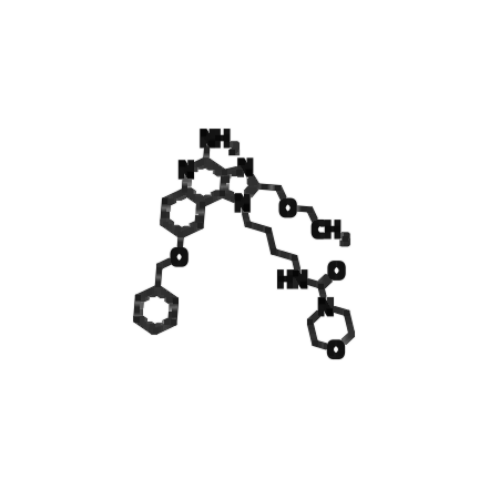 CCOCc1nc2c(N)nc3ccc(OCc4ccccc4)cc3c2n1CCCCNC(=O)N1CCOCC1